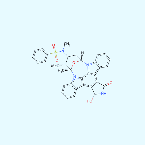 CO[C@@H]1[C@H](N(C)S(=O)(=O)c2ccccc2)C[C@H]2O[C@]1(C)n1c3ccccc3c3c4c(c5c6ccccc6n2c5c31)C(=O)N[C@@H]4O